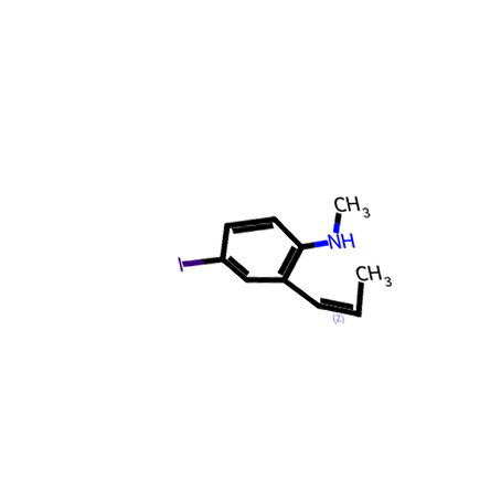 C/C=C\c1cc(I)ccc1NC